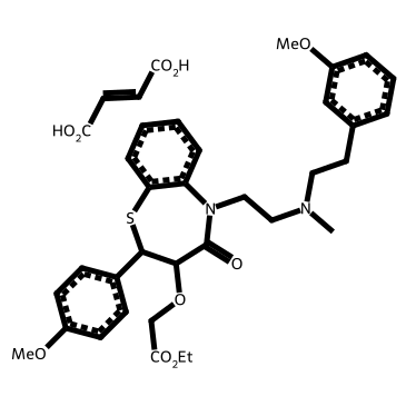 CCOC(=O)COC1C(=O)N(CCN(C)CCc2cccc(OC)c2)c2ccccc2SC1c1ccc(OC)cc1.O=C(O)C=CC(=O)O